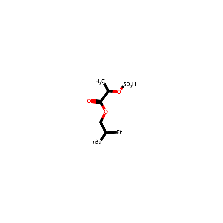 CCCCC(CC)COC(=O)C(C)OS(=O)(=O)O